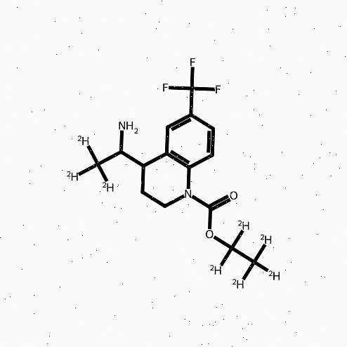 [2H]C([2H])([2H])C(N)C1CCN(C(=O)OC([2H])([2H])C([2H])([2H])[2H])c2ccc(C(F)(F)F)cc21